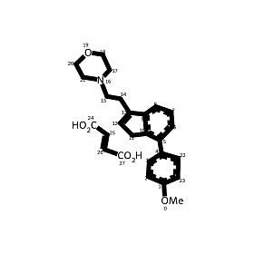 COc1ccc(-c2cccc3c2CC=C3CCN2CCOCC2)cc1.O=C(O)C=CC(=O)O